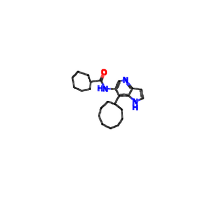 O=C(Nc1cnc2cc[nH]c2c1C1CCCCCCCC1)C1CCCCCC1